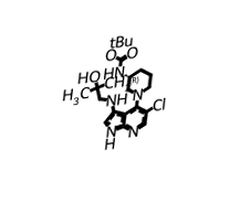 CC(C)(O)CNc1c[nH]c2ncc(Cl)c(N3CCC[C@@H](NC(=O)OC(C)(C)C)C3)c12